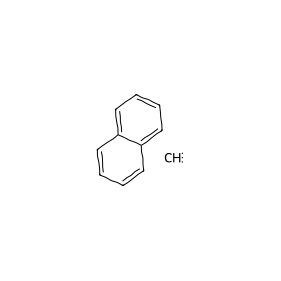 [CH].c1ccc2ccccc2c1